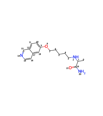 CC(NCCC[CH]COc1ccc2cnccc2c1)C(N)=O